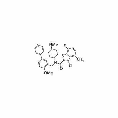 CN[C@H]1CC[C@H](N(Cc2cc(-c3ccncc3)ccc2OC)C(=O)c2sc3c(F)ccc(C)c3c2Cl)CC1